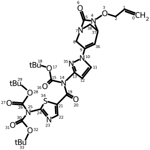 C=CCON1C(=O)N2CC(n3ccc(N(C(=O)OC(C)(C)C)C(=O)c4cnc(N(C(=O)OC(C)(C)C)C(=O)OC(C)(C)C)s4)n3)=CC1C2